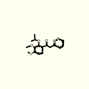 [CH2]C(C)Oc1c(C(=O)Cc2cccnn2)ccc(OC)c1OC